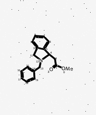 COC(=O)CC1c2ccccc2CN1Cc1ccccc1